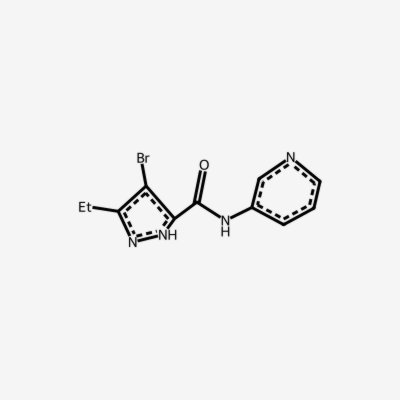 CCc1n[nH]c(C(=O)Nc2cccnc2)c1Br